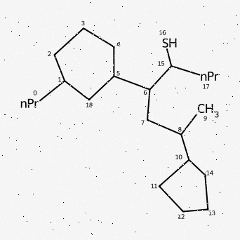 CCCC1CCCC(C(CC(C)C2CCCC2)C(S)CCC)C1